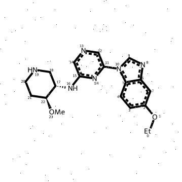 CCOc1ccc2c(c1)ncn2-c1cncc(N[C@H]2CNCC[C@@H]2OC)n1